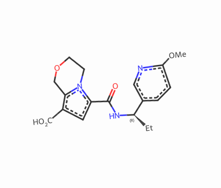 CC[C@@H](NC(=O)c1cc(C(=O)O)c2n1CCOC2)c1ccc(OC)nc1